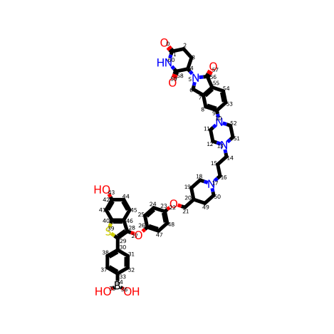 O=C1CCC(N2Cc3cc(N4CCN(CCCN5CCC(COc6ccc(Oc7c(-c8ccc(B(O)O)cc8)sc8cc(O)ccc78)cc6)CC5)CC4)ccc3C2=O)C(=O)N1